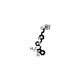 Cc1[nH]c2ccccc2c1C[C@H]1CCCN1Cc1ccc(C=CC(=O)NO)cn1